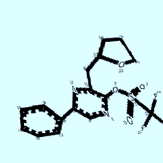 O=S(=O)(Oc1ncc(-c2ccccc2)nc1CC1CCCO1)C(F)(F)F